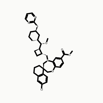 COC(=O)c1ccc2c(c1)N(C[C@@H]1CC[C@H]1[C@@H](OC)[C@@H]1CCC[C@@H](Sc3ncccn3)C1)C[C@@]1(CCCc3cc(Cl)ccc31)CO2